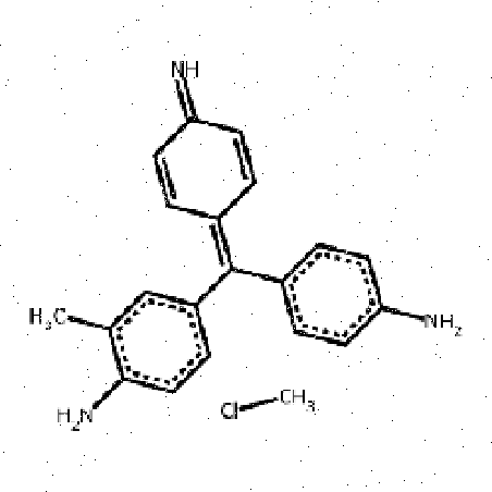 CCl.Cc1cc(C(=C2C=CC(=N)C=C2)c2ccc(N)cc2)ccc1N